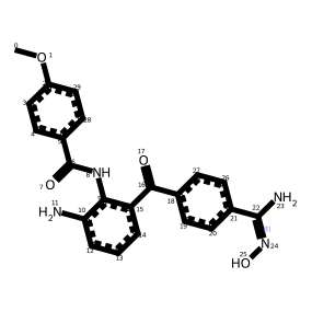 COc1ccc(C(=O)Nc2c(N)cccc2C(=O)c2ccc(/C(N)=N\O)cc2)cc1